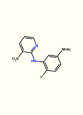 CC(=O)Nc1ccc(F)c(Nc2ncccc2[N+](=O)[O-])c1